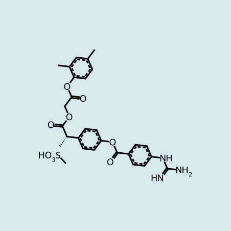 CS(=O)(=O)O.Cc1ccc(OC(=O)COC(=O)[C@@H](C)c2ccc(OC(=O)c3ccc(NC(=N)N)cc3)cc2)c(C)c1